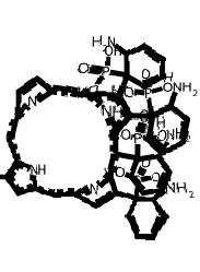 NC1C=CC=CC1(C1=Cc2cc3ccc(cc4nc(cc5[nH]c(c(C6(P(=O)(O)O)C=CC=CC6N)c1n2)c(C1(P(=O)(O)O)C=CC=CC1N)c5C1(P(=O)(O)O)C=CC=CC1N)C=C4)[nH]3)P(=O)(O)O